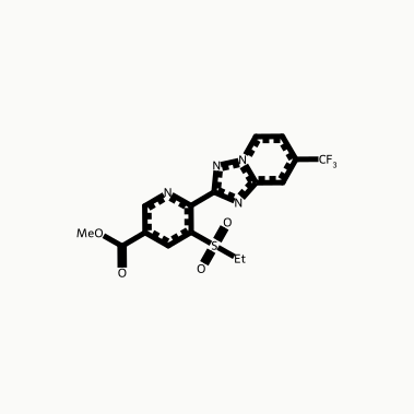 CCS(=O)(=O)c1cc(C(=O)OC)cnc1-c1nc2cc(C(F)(F)F)ccn2n1